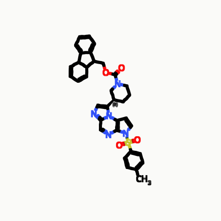 Cc1ccc(S(=O)(=O)n2ccc3c2ncc2ncc([C@@H]4CCCN(C(=O)OCC5c6ccccc6C6C=CC=CC65)C4)n23)cc1